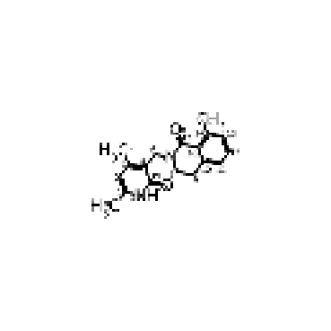 Cc1cc(C)c(CN2CCc3cccc(C)c3C2=O)c(=O)[nH]1